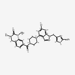 CCCc1nc(Cn2ncc3c(N4CCN(C(=O)c5ccc(CN(CC)C(=O)OC(C)(C)C)cc5)CC4)nc(Cl)nc32)cs1